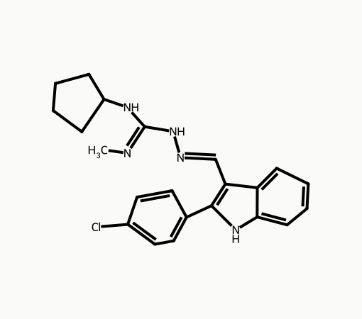 CN=C(NN=Cc1c(-c2ccc(Cl)cc2)[nH]c2ccccc12)NC1CCCC1